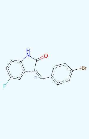 O=C1Nc2ccc(F)cc2/C1=C/c1ccc(Br)cc1